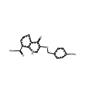 CNC(=O)c1cccc2c(=O)c(OCc3ccc(OC)cc3)c[nH]c12